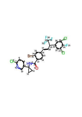 O=C(NC1(c2ccc(Cl)nc2)CC1)c1ccc(/C=C/C(c2cc(Cl)c(F)c(Cl)c2)C(F)(F)F)cc1Br